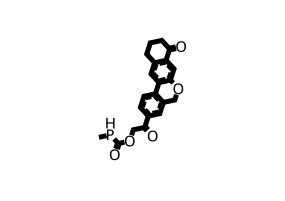 CPC(=O)OCC(=O)c1ccc2c(c1)COc1cc3c(cc1-2)CCCC3=O